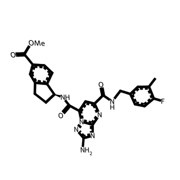 COC(=O)c1ccc2c(c1)CC[C@@H]2NC(=O)c1cc(C(=O)NCc2ccc(F)c(C)c2)nc2nc(N)nn12